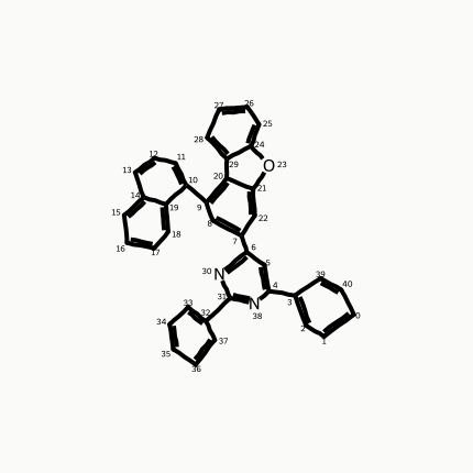 c1ccc(-c2cc(-c3cc(-c4cccc5ccccc45)c4c(c3)oc3ccccc34)nc(-c3ccccc3)n2)cc1